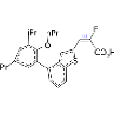 CCCOc1c(-c2cccc3sc(/C=C(/F)C(=O)O)cc23)cc(C(C)C)cc1C(C)C